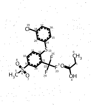 CCC(=O)O.CS(=O)(=O)c1ccc(Sc2cccc(Cl)c2)c(C(F)(F)F)c1